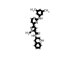 Cc1cc(C)cc(Nc2nccc(-c3cc(C(=O)NC(CO)Cc4ccccc4)n(C)n3)n2)c1